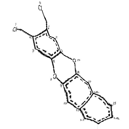 Clc1cc2c(cc1Cl)Oc1cc3ccccc3cc1O2